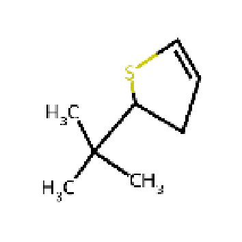 CC(C)(C)C1CC=CS1